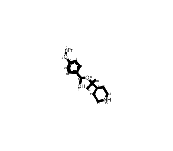 CCCOc1ccc(C(O)OC(C)(C)C2CCNCC2)cc1